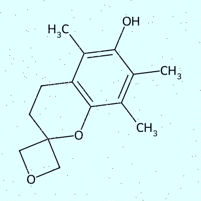 Cc1c(C)c2c(c(C)c1O)CCC1(COC1)O2